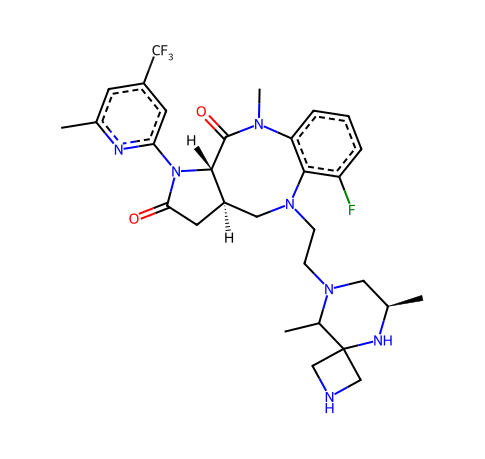 Cc1cc(C(F)(F)F)cc(N2C(=O)C[C@@H]3CN(CCN4C[C@@H](C)NC5(CNC5)C4C)c4c(F)cccc4N(C)C(=O)[C@H]32)n1